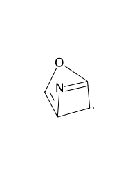 [CH]1c2coc1n2